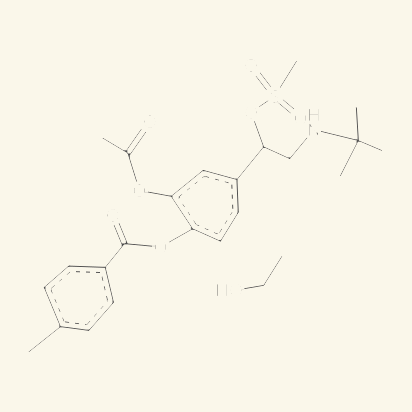 CC(=O)Oc1cc(C(CNC(C)(C)C)OS(C)(=O)=O)ccc1OC(=O)c1ccc(C)cc1.CCO